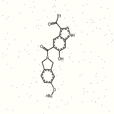 CCCCOc1ccc2c(c1)CN(C(=O)c1cc3c(C(=O)CC)n[nH]c3cc1O)C2